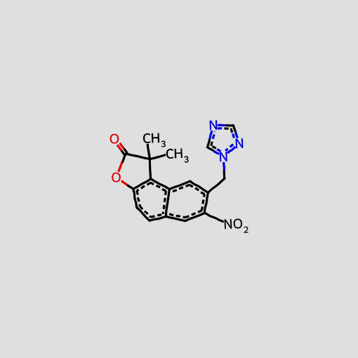 CC1(C)C(=O)Oc2ccc3cc([N+](=O)[O-])c(Cn4cncn4)cc3c21